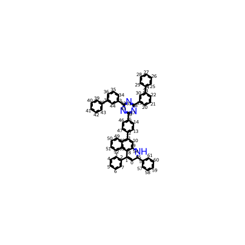 C1=C(c2ccccc2)c2c(cc(-c3ccc(-c4nc(-c5cccc(-c6ccccc6)c5)nc(-c5cccc(-c6ccccc6)c5)n4)cc3)c3ccccc23)NC1c1ccccc1